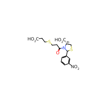 O=C(O)CCSCCC(=O)N1C(c2cccc([N+](=O)[O-])c2)SC[C@H]1C(=O)O